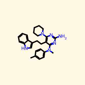 Cc1ccc(N(C)c2nc(N)nc(N3CCCCC3)c2CCc2c[nH]c3ccccc23)cc1